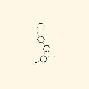 N#Cc1cc2c(cn1)[NH+]([O-])c1ncc(-c3ccc(CN4CCCCC4)cc3)cc1-2